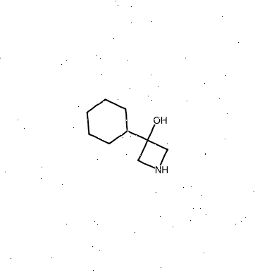 OC1(C2CCCCC2)CNC1